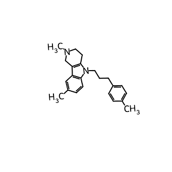 Cc1ccc(CCCn2c3c(c4cc(C)ccc42)CN(C)CC3)cc1